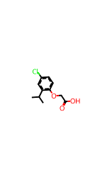 CC(C)c1cc(Cl)ccc1OCC(=O)O